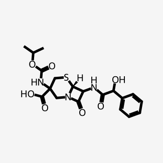 CC(C)OC(=O)NC1(C(=O)O)CS[C@@H]2C(NC(=O)C(O)c3ccccc3)C(=O)N2C1